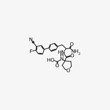 N#Cc1cc(-c2ccc(CC(NC(=O)C3(NC(=O)O)CCOCC3)C(N)=O)cc2)ccc1F